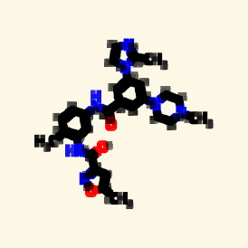 Cc1cc(C(=O)Nc2cc(NC(=O)c3cc(N4CCN(C)CC4)cc(-n4ccnc4C)c3)ccc2C)no1